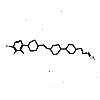 C=CCCC1CCC(C2CCC(CCC3CCC(c4ccc(CCC)c(F)c4F)CC3)CC2)CC1